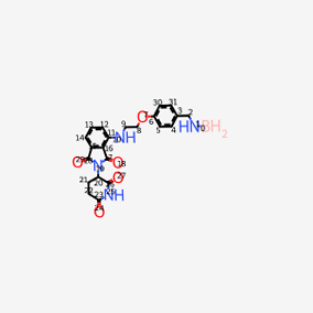 BNCc1ccc(OCCNc2cccc3c2C(=O)N(C2CCC(=O)NC2=O)C3=O)cc1